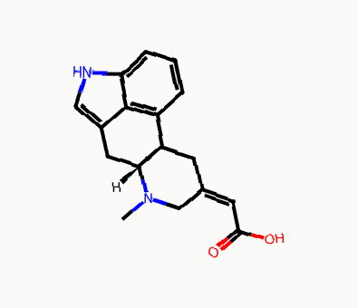 CN1CC(=CC(=O)O)CC2c3cccc4[nH]cc(c34)C[C@H]21